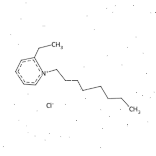 CCCCCCCC[n+]1ccccc1CC.[Cl-]